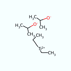 CC(C)[O-].CC(C)[O-].C[CH2][Ti+2][CH2]C